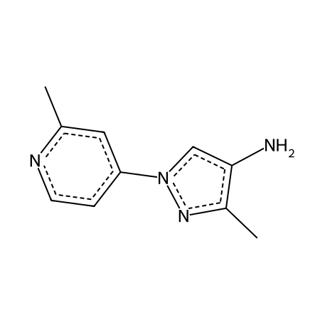 Cc1cc(-n2cc(N)c(C)n2)ccn1